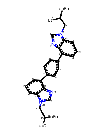 CCCCC(CC)Cn1[c]nc2c(-c3ccc(-c4cccc5c4n[c]n5CC(CC)CCCC)cc3)cccc21